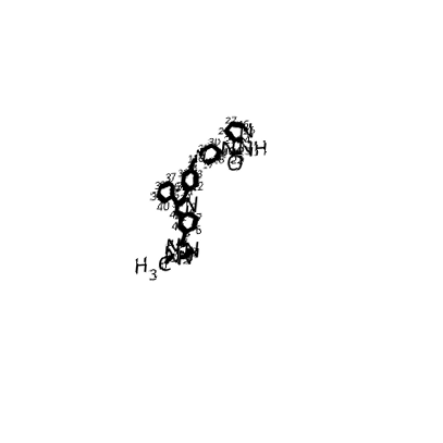 Cn1nnc(-c2ccc3nc(-c4ccc(CN5CCC(n6c(=O)[nH]c7ncccc76)CC5)cc4)c(-c4ccccc4)cc3c2)n1